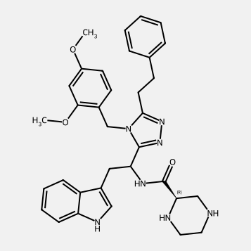 COc1ccc(Cn2c(CCc3ccccc3)nnc2C(Cc2c[nH]c3ccccc23)NC(=O)[C@H]2CNCCN2)c(OC)c1